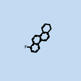 Fc1cccc2c1ccc1c3c(ccc12)CCC=C3